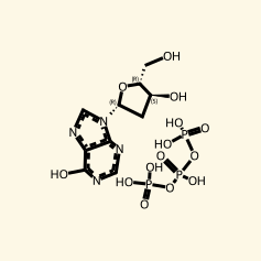 O=P(O)(O)OP(=O)(O)OP(=O)(O)O.OC[C@H]1O[C@@H](n2cnc3c(O)ncnc32)C[C@@H]1O